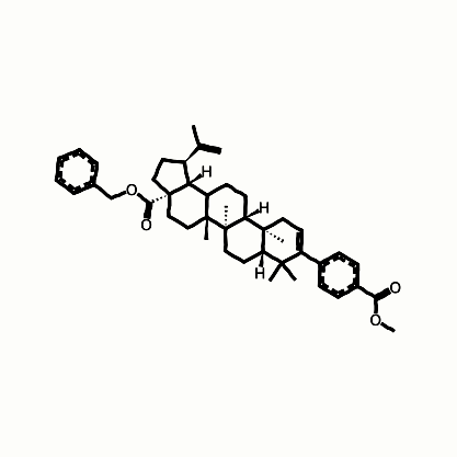 C=C(C)[C@@H]1CC[C@]2(C(=O)OCc3ccccc3)CC[C@]3(C)C(CC[C@@H]4[C@@]5(C)CC=C(c6ccc(C(=O)OC)cc6)C(C)(C)[C@@H]5CC[C@]43C)[C@@H]12